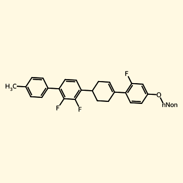 CCCCCCCCCOc1ccc(C2=CCC(c3ccc(-c4ccc(C)cc4)c(F)c3F)CC2)c(F)c1